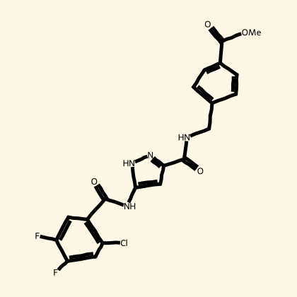 COC(=O)c1ccc(CNC(=O)c2cc(NC(=O)c3cc(F)c(F)cc3Cl)[nH]n2)cc1